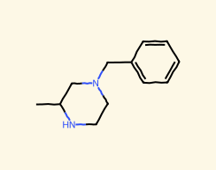 CC1CN(Cc2ccccc2)CCN1